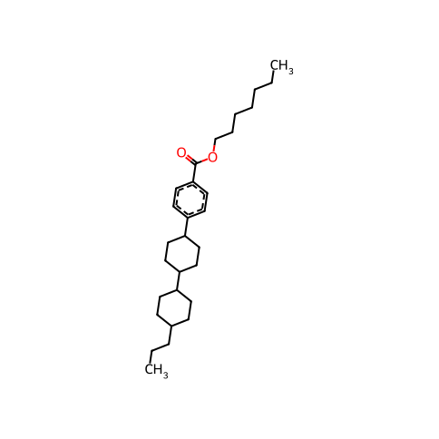 CCCCCCCOC(=O)c1ccc(C2CCC(C3CCC(CCC)CC3)CC2)cc1